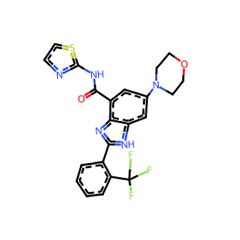 O=C(Nc1nccs1)c1cc(N2CCOCC2)cc2[nH]c(-c3ccccc3C(F)(F)F)nc12